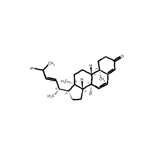 CC(C)C(C)/C=C/[C@@H](C)[C@H]1CC[C@H]2[C@@H]3C=CC4=CC(=O)CC[C@]4(C)[C@H]3CC[C@]12C